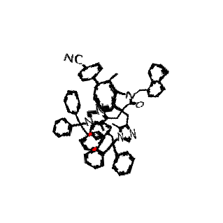 Cc1c(-c2ccc(C#N)cc2)ccc2c1N(Cc1cccc3ccccc13)C(=O)C2(Cc1ncn(C(c2ccccc2)(c2ccccc2)c2ccccc2)c1C)Cc1ncn(C(c2ccccc2)(c2ccccc2)c2ccccc2)c1C